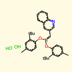 Cc1ccc([O][Ti](=[CH]c2cnc3ccccc3c2)[O]c2ccc(C)cc2C(C)(C)C)c(C(C)(C)C)c1.Cl.Cl